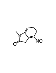 CN1C(=O)CC2=C(N=O)CCC=C21